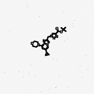 CC(C)(C)OC(=O)c1cn(Cc2cn3cc(C4CC4)cc(N4CCOCC4)c3n2)nn1